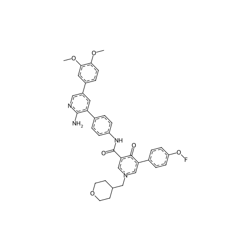 COc1ccc(-c2cnc(N)c(-c3ccc(NC(=O)c4cn(CC5CCOCC5)cc(-c5ccc(OF)cc5)c4=O)cc3)c2)cc1OC